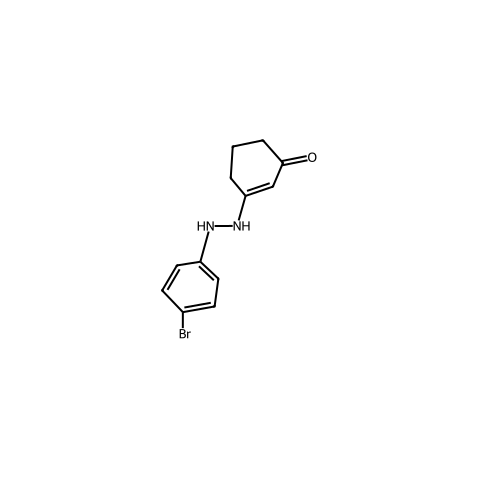 O=C1C=C(NNc2ccc(Br)cc2)CCC1